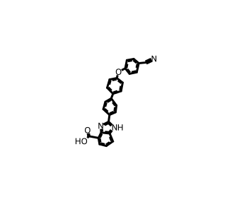 N#Cc1ccc(Oc2ccc(-c3ccc(-c4nc5c(C(=O)O)cccc5[nH]4)cc3)cc2)cc1